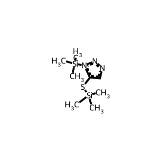 C[Si](C)(C)Sc1cnnn1[Si](C)(C)C